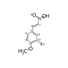 COc1ccc(C=CC(=O)O)cc1I